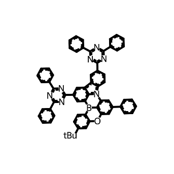 CC(C)(C)c1ccc2c(c1)Oc1cc(-c3ccccc3)cc3c1B2c1cc(-c2nc(-c4ccccc4)nc(-c4ccccc4)n2)cc2c4cc(-c5nc(-c6ccccc6)nc(-c6ccccc6)n5)ccc4n-3c12